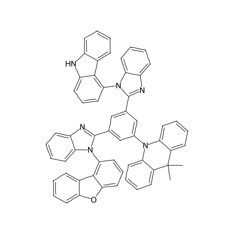 CC1(C)c2ccccc2N(c2cc(-c3nc4ccccc4n3-c3cccc4[nH]c5ccccc5c34)cc(-c3nc4ccccc4n3-c3cccc4oc5ccccc5c34)c2)c2ccccc21